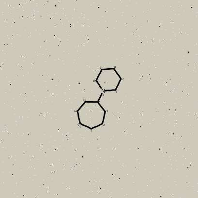 C1CCCC(N2CCCCC2)CC1